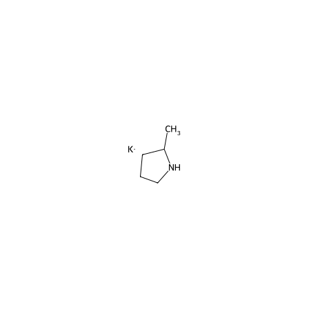 CC1CCCN1.[K]